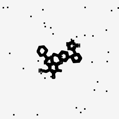 CC(C)Cn1c(=O)n(C)c(=O)c2c1nc(C1CCCCC1)n2Cc1ccc(-c2ccccc2-c2nnn[nH]2)cc1